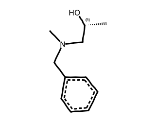 C[C@@H](O)CN(C)Cc1ccccc1